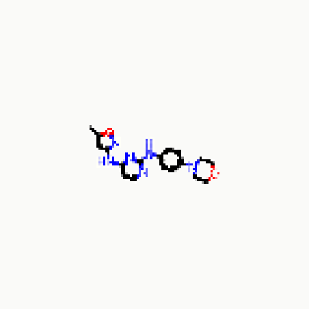 Cc1cc(Nc2ccnc(Nc3ccc(N4CCOCC4)cc3)n2)no1